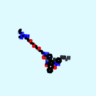 C=N/C(=N\C=C/C)NCCCOCCOCCOCCCNC(=O)[C@@H]1CCCN(c2cc(Nc3ccc(S(=O)(=O)O)cc3S(=O)(=O)O)c3c4c(onc24)-c2ccccc2C3=O)C1